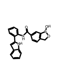 O=C(Nc1ccccc1-c1cc2ccccc2[nH]1)c1ccc2c(c1)B(O)OC2